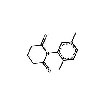 Cc1ccc(C)c(N2C(=O)CCCC2=O)c1